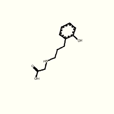 O=C(O)CNCCCc1ccccc1O